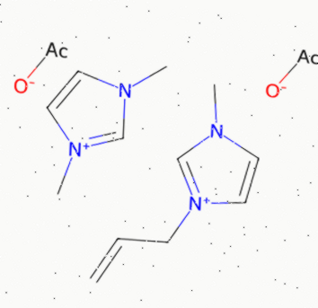 C=CC[n+]1ccn(C)c1.CC(=O)[O-].CC(=O)[O-].Cn1cc[n+](C)c1